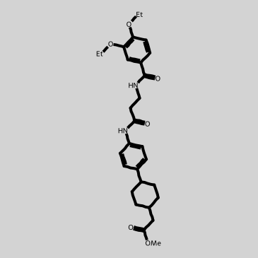 CCOc1ccc(C(=O)NCCC(=O)Nc2ccc(C3CCC(CC(=O)OC)CC3)cc2)cc1OCC